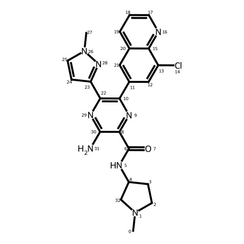 CN1CCC(NC(=O)c2nc(-c3cc(Cl)c4ncccc4c3)c(-c3ccn(C)n3)nc2N)C1